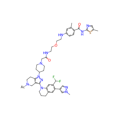 CC(=O)N1CCc2c(c(N3CCCc4cc(-c5cnn(C)c5)c(C(F)F)cc43)nn2C2CCN(CC(=O)NCCOCCNc3ccc(C(=O)Nc4ncc(C)s4)c(C)c3)CC2)C1